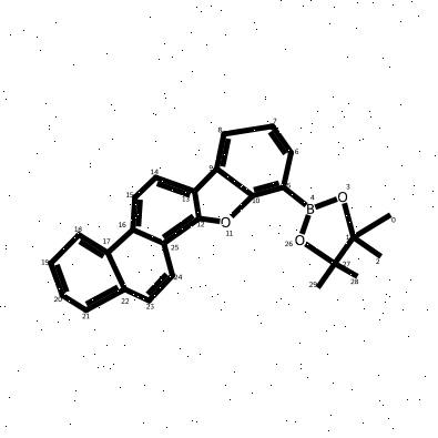 CC1(C)OB(c2cccc3c2oc2c3ccc3c4ccccc4ccc32)OC1(C)C